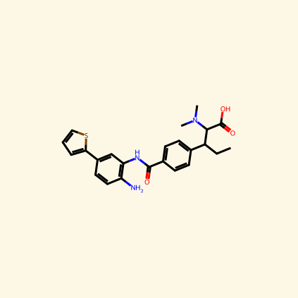 CCC(c1ccc(C(=O)Nc2cc(-c3cccs3)ccc2N)cc1)C(C(=O)O)N(C)C